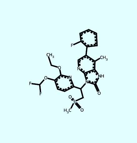 CCOc1nc(C(CS(C)(=O)=O)n2c(=O)[nH]c3c(C)c(-c4ccccc4F)cnc32)ccc1OC(F)F